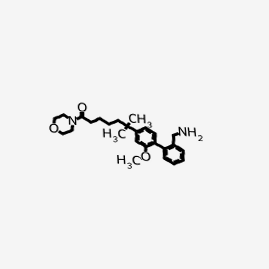 COc1cc(C(C)(C)CCCCC(=O)N2CCOCC2)ccc1-c1ccccc1CN